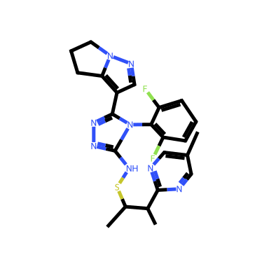 Cc1cnc(C(C)C(C)SNc2nnc(-c3cnn4c3CCC4)n2-c2c(F)cccc2F)nc1